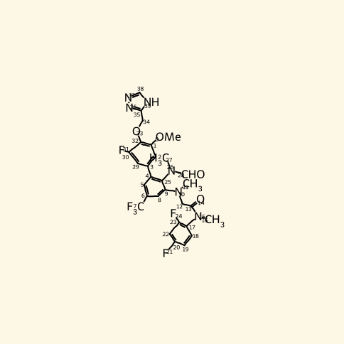 COc1cc(-c2cc(C(F)(F)F)cc(N(C)CC(=O)N(C)c3ccc(F)cc3F)c2N(C)C=O)cc(F)c1OCc1nnc[nH]1